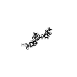 CC(C)(C)OC(=O)N(CC(O)COc1cccc(S(=O)(=O)C2CC2)c1)C1COC2(CCN(C(=O)O)CC2)C1